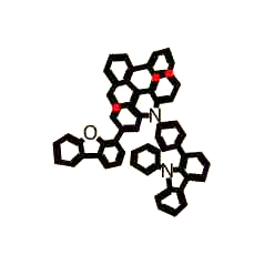 c1ccc(-c2cccc3cccc(-c4ccccc4N(c4ccc(-c5cccc6c7ccccc7n(-c7ccccc7)c56)cc4)c4cccc(-c5cccc6c5oc5ccccc56)c4)c23)cc1